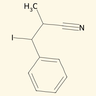 CC(C#N)C(I)c1ccccc1